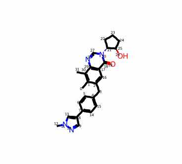 Cc1c(Cc2ccc(-c3cnn(C)c3)cc2)cc2c(=O)n([C@@H]3CCC[C@H]3O)cnc2c1C